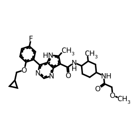 COCC(=O)NC1CCC(NC(=O)c2c(C)[nH]c3c(-c4cc(F)ccc4OCC4CC4)ncnc23)C(C)C1